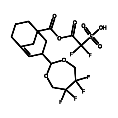 O=C(OC(=O)C(F)(F)S(=O)(=O)O)C12CCCC(=CC(C3OCC(F)(F)C(F)(F)CO3)C1)C2